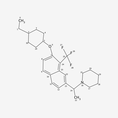 CCC1CCC(Oc2ccc3ccc(C(C)N4CCCCC4)cc3c2C(F)(F)F)CC1